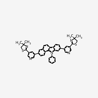 CC1(C)CSC(c2cncc(-c3ccc4c(ccc5c6ccc(-c7cncc(C8=NC(C)(C)CS8)c7)cc6n(-c6ccccc6)c45)c3)c2)=N1